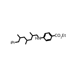 CCOC(=O)c1ccc(NCC(C)CC(C)CC(C)CC(C)C)cc1